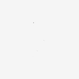 CC(C)OCCOC1CN(C)CC1N